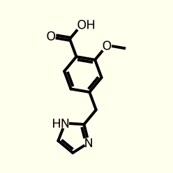 COc1cc(Cc2ncc[nH]2)ccc1C(=O)O